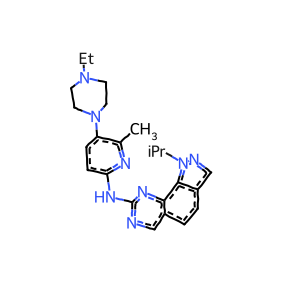 CCN1CCN(c2ccc(Nc3ncc4ccc5cnn(C(C)C)c5c4n3)nc2C)CC1